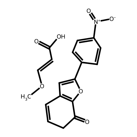 CO/C=C/C(=O)O.O=C1CC=Cc2cc(-c3ccc([N+](=O)[O-])cc3)oc21